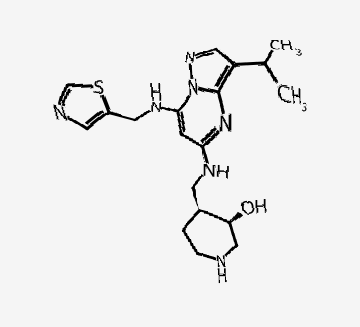 CC(C)c1cnn2c(NCc3cncs3)cc(NC[C@@H]3CCNC[C@@H]3O)nc12